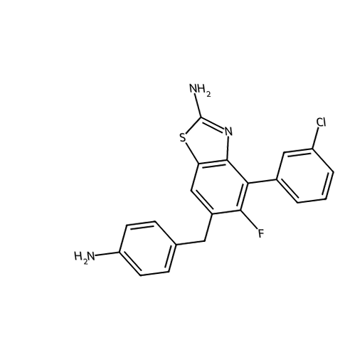 Nc1ccc(Cc2cc3sc(N)nc3c(-c3cccc(Cl)c3)c2F)cc1